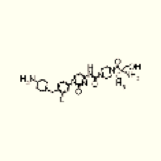 C[C@](N)(CO)C(=O)N1CCN(C(=O)Nc2ccn(-c3ccc(CN4CCC(N)CC4)c(Cl)c3)c(=O)n2)CC1